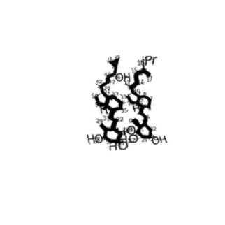 C=C1/C(=C\C=C2/CCC[C@]3(C)[C@@H]([C@H](C)/C=C/[C@@H](C)C(C)C)CC[C@@H]23)C[C@@H](O)CC1(O)O.C=C1/C(=C\C=C2/CCC[C@]3(C)[C@@H]([C@H](C)/C=C/[C@@H](O)C4CC4)CC[C@@H]23)C[C@@H](O)C[C@@H]1O